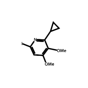 COc1cc(I)nc(C2CC2)c1OC